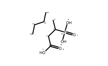 CC(CC(=O)O)P(=O)(O)O.CCCC